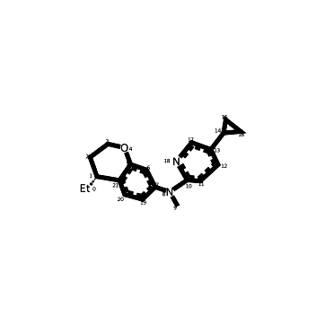 CC[C@@H]1CCOc2cc(N(C)c3ccc(C4CC4)cn3)ccc21